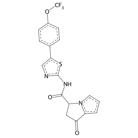 O=C1CC(C(=O)Nc2ncc(-c3ccc(OC(F)(F)F)cc3)s2)n2cccc21